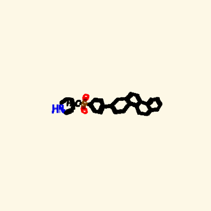 C1=CC=CNC=C1.CS(=O)(=O)c1ccc(C2CCc3c(ccc4c3CCc3ccccc3-4)C2)cc1